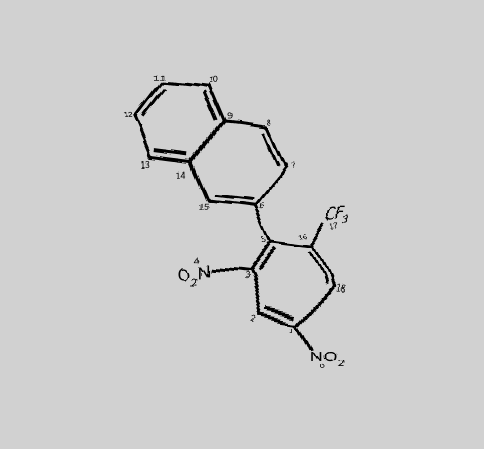 O=[N+]([O-])c1cc([N+](=O)[O-])c(-c2ccc3ccccc3c2)c(C(F)(F)F)c1